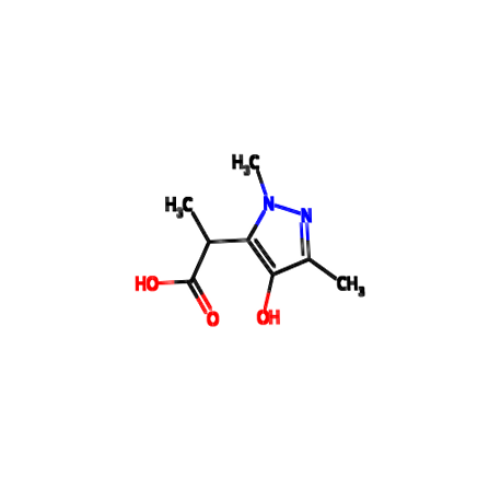 Cc1nn(C)c(C(C)C(=O)O)c1O